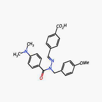 COc1ccc(CN(N=Cc2ccc(C(=O)O)cc2)C(=O)c2ccc(N(C)C)cc2)cc1